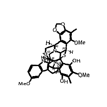 COc1ccc2[nH]c3c(c2c1)C[C@H](CO)N[C@]31CS[C@@H]2c3c(OC)c(C)c4c(c3[C@H](COC1=O)N1C2C2c3c(cc(C)c(OC)c3O)[C@@]3(C)C[C@H]([C@@H]1C)N23)OCO4